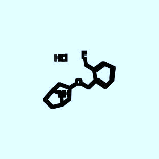 Cl.FCc1ccccc1COC1CC2CCC(C1)N2